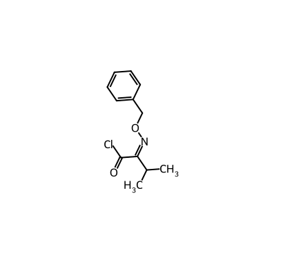 CC(C)C(=NOCc1ccccc1)C(=O)Cl